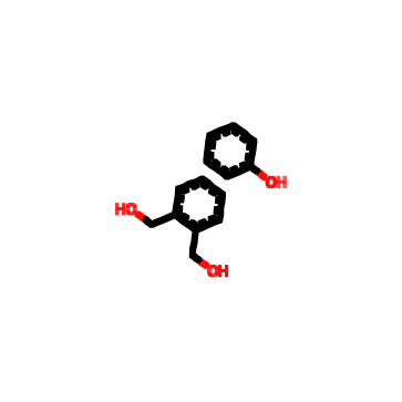 OCc1ccccc1CO.Oc1ccccc1